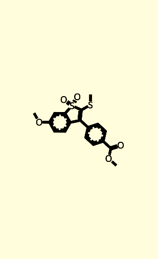 COC(=O)c1ccc(C2=C(SC)S(=O)(=O)c3cc(OC)ccc32)cc1